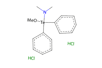 CO[Te](c1ccccc1)(c1ccccc1)N(C)C.Cl.Cl